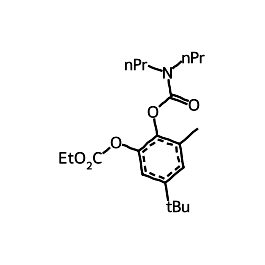 CCCN(CCC)C(=O)Oc1c(C)cc(C(C)(C)C)cc1OC(=O)OCC